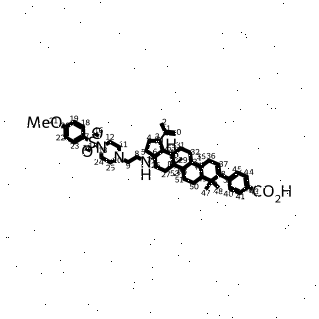 C=C(C)[C@@H]1CC[C@]2(NCCN3CCN(S(=O)(=O)c4ccc(OC)cc4)CC3)CC[C@]3(C)[C@H](CCC4[C@@]5(C)CC=C(c6ccc(C(=O)O)cc6)C(C)(C)C5CC[C@]43C)C12